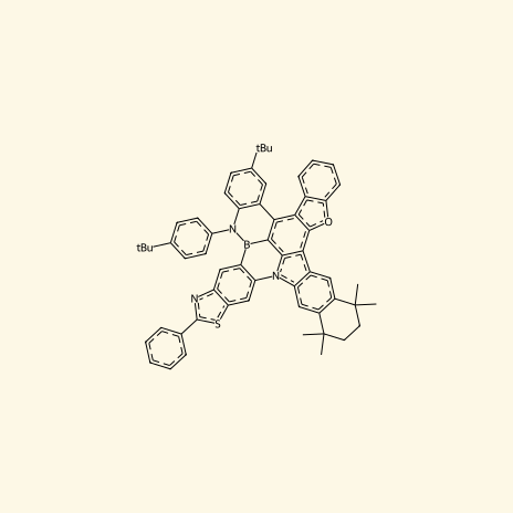 CC(C)(C)c1ccc(N2B3c4cc5nc(-c6ccccc6)sc5cc4-n4c5cc6c(cc5c5c7oc8ccccc8c7c(c3c54)-c3cc(C(C)(C)C)ccc32)C(C)(C)CCC6(C)C)cc1